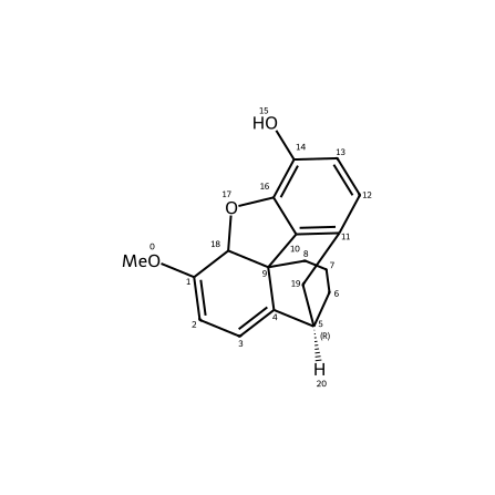 COC1=CC=C2[C@@H]3CCCC24c2c(ccc(O)c2OC14)C3